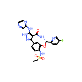 CCS(=O)(=O)Nc1ccc(-c2n[nH]c(Nc3cnccn3)c2C(N)=O)cc1OCc1ccc(F)cn1